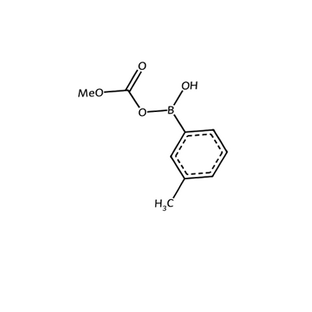 COC(=O)OB(O)c1cccc(C)c1